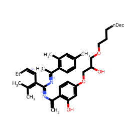 C=C(/N=C(\N=C(/C)c1ccc(C)cc1C)C(/C=C\CC)=C(C)C)c1ccc(OCC(O)COCCCCCCCCCCCCC)cc1O